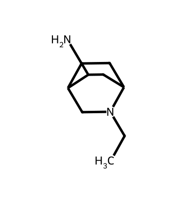 CCN1CC2CCC1CC2N